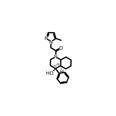 Cc1ccnn1CC(=O)N1CC[C@@](O)(c2ccccc2)[C@@H]2CCCCC21